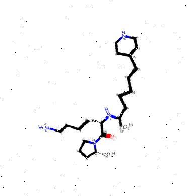 NCCCC[C@H](NC(CCCCCC1CCNCC1)C(=O)O)C(=O)N1CCC[C@H]1C(=O)O